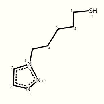 SCCCCCn1ccnn1